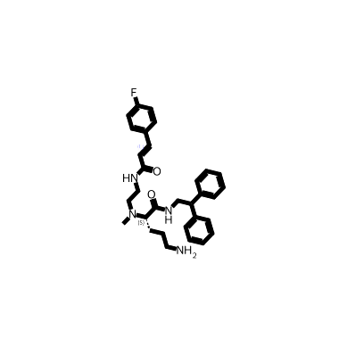 CN(CCNC(=O)/C=C/c1ccc(F)cc1)[C@@H](CCCN)C(=O)NCC(c1ccccc1)c1ccccc1